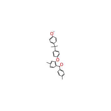 COc1ccc(C(C)(C)c2ccc(Oc3cc(C)ccc3C(=O)c3ccc(C)cc3)cc2)cc1